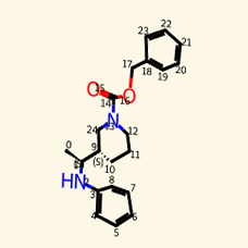 C[C@H](Nc1ccccc1)[C@H]1CCCN(C(=O)OCc2ccccc2)C1